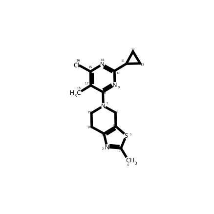 Cc1nc2c(s1)CN(c1nc(C3CC3)nc(Cl)c1C)CC2